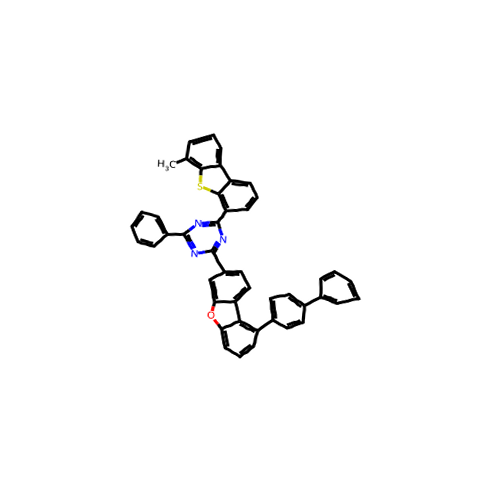 Cc1cccc2c1sc1c(-c3nc(-c4ccccc4)nc(-c4ccc5c(c4)oc4cccc(-c6ccc(-c7ccccc7)cc6)c45)n3)cccc12